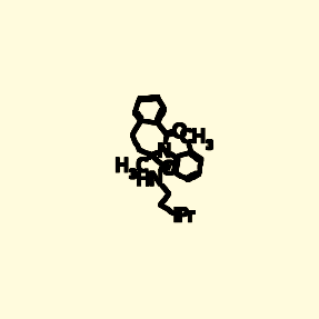 Cc1ccccc1N1C(=O)c2ccccc2CCC1(C)C(=O)NCCC(C)C